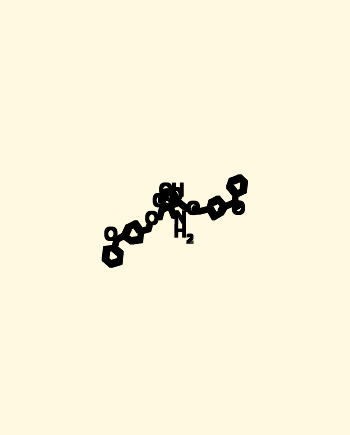 NCC(CCOCc1ccc(C(=O)c2ccccc2)cc1)(CCOCc1ccc(C(=O)c2ccccc2)cc1)S(=O)(=O)O